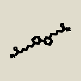 CCC(=O)CCCCc1cccc(-c2cccc(CCCCCC(=O)C(C)C)c2)c1